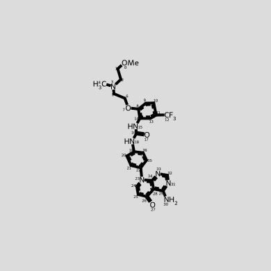 COCCN(C)CCOc1ccc(C(F)(F)F)cc1NC(=O)Nc1ccc(-n2ccc(=O)c3c(N)ncnc32)cc1